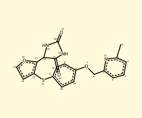 Cc1cccc(COc2ccc(Sc3ccoc3C3NC(=O)NC3=O)cc2)n1